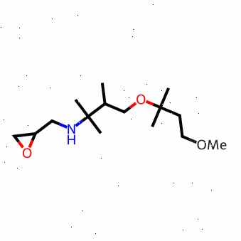 COCCC(C)(C)OCC(C)C(C)(C)NCC1CO1